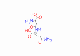 NC(=O)CC[C@H](NC(=O)C[C@H](N)C(=O)O)C(=O)O